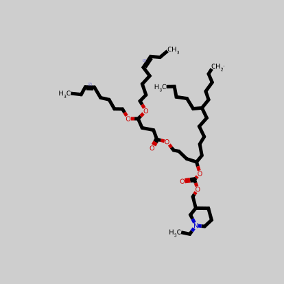 [CH2]CCCCC(CCCCC)CCCCCC(CCCOC(=O)CCC(OCCCC/C=C\CC)OCCCC/C=C\CC)OC(=O)OCC1CCCN(CC)C1